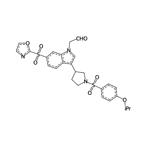 CC(C)Oc1ccc(S(=O)(=O)N2CCC(c3cn(CC=O)c4cc(S(=O)(=O)c5ncco5)ccc34)C2)cc1